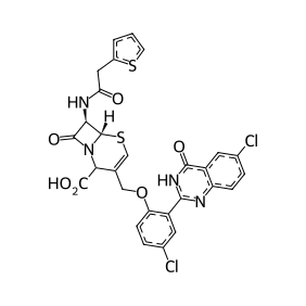 O=C(Cc1cccs1)N[C@@H]1C(=O)N2C(C(=O)O)C(COc3ccc(Cl)cc3-c3nc4ccc(Cl)cc4c(=O)[nH]3)=CS[C@@H]12